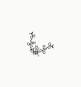 C=C(C)C(=O)OCCNC(=O)OCC(C)(C)OC(F)(P)C(F)(P)C(C)(C)COC(=O)NCCOC(=O)C(=C)C